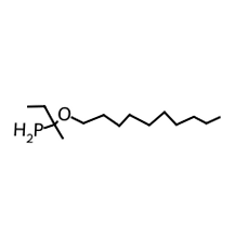 CCCCCCCCCCOC(C)(P)CC